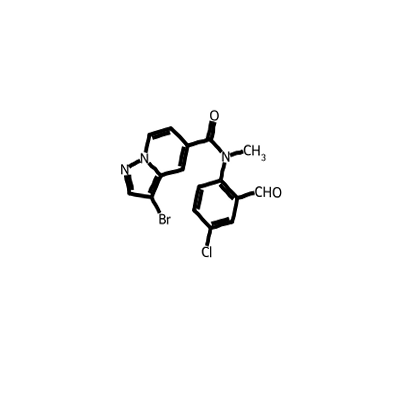 CN(C(=O)c1ccn2ncc(Br)c2c1)c1ccc(Cl)cc1C=O